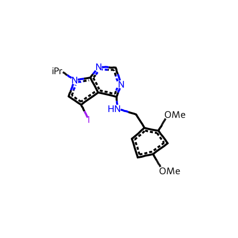 COc1ccc(CNc2ncnc3c2c(I)cn3C(C)C)c(OC)c1